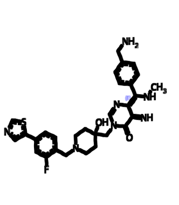 CN/C(=C1/N=CN(CC2(O)CCN(Cc3ccc(-c4cncs4)cc3F)CC2)C(=O)C1=N)c1ccc(CN)cc1